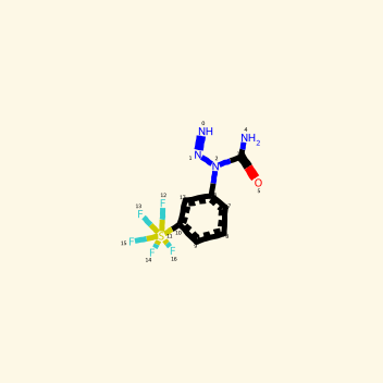 N=NN(C(N)=O)c1cccc(S(F)(F)(F)(F)F)c1